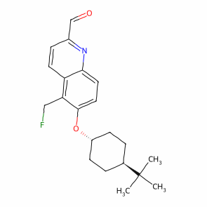 CC(C)(C)[C@H]1CC[C@H](Oc2ccc3nc(C=O)ccc3c2CF)CC1